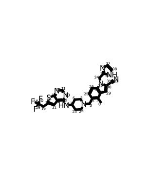 Cc1c(CN2CCC(Nc3ncnc4sc(CC(F)(F)F)cc34)CC2)ccc2c1cc(C#N)n2Cc1ncc[nH]1